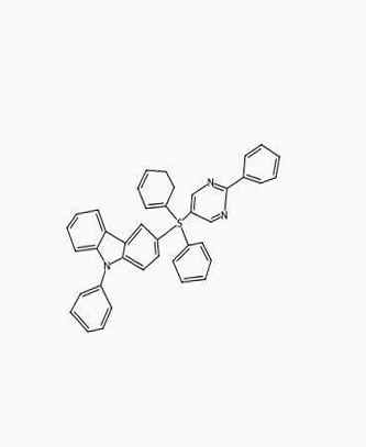 C1=CCCC(S(c2ccccc2)(c2cnc(-c3ccccc3)nc2)c2ccc3c(c2)c2ccccc2n3-c2ccccc2)=C1